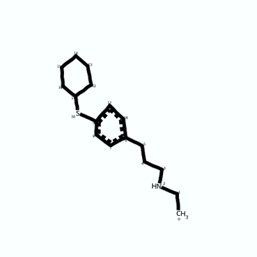 CCNCCCc1ccc(SC2CCCCC2)cc1